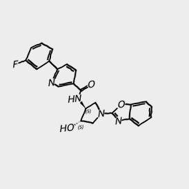 O=C(N[C@H]1CN(c2nc3ccccc3o2)C[C@@H]1O)c1ccc(-c2cccc(F)c2)nc1